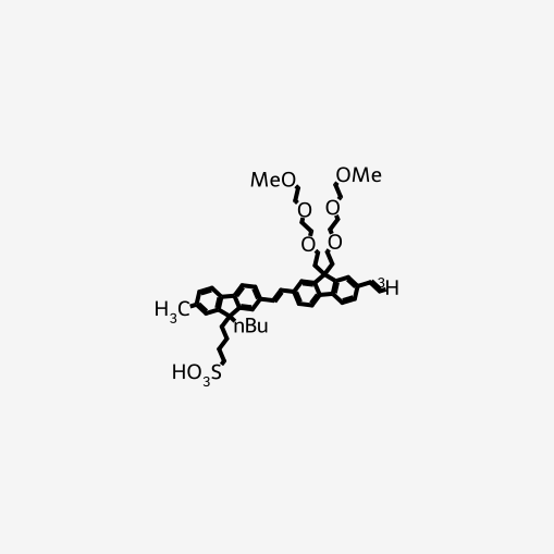 [3H]/C=C/c1ccc2c(c1)C(CCOCCOCCOC)(CCOCCOCCOC)c1cc(/C=C/c3ccc4c(c3)C(CCCC)(CCCCS(=O)(=O)O)c3cc(C)ccc3-4)ccc1-2